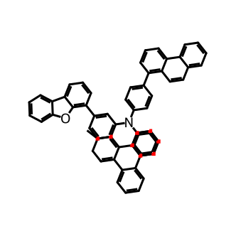 CC1C=C(c2ccccc2N(c2ccc(-c3cccc4c3ccc3ccccc34)cc2)c2cccc(-c3cccc4c3oc3ccccc34)c2)C(c2ccccc2-c2ccccc2)=CC1